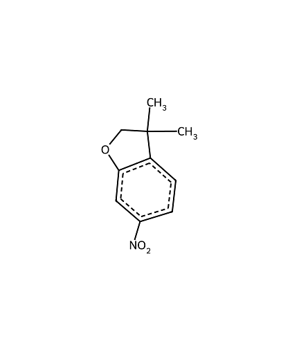 CC1(C)COc2cc([N+](=O)[O-])ccc21